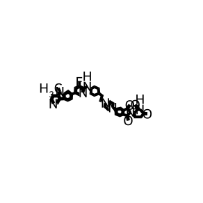 Cn1c2ccncc2c2ccc(-c3cnc(NC4CCC(CCN5CCN(c6ccc7c(c6)C(=O)N(C6CCC(=O)NC6=O)C7=O)CC5)CC4)c(F)c3)cc21